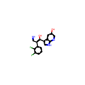 N=C/C(=C(\O)c1c[nH]c2ncc(O)cc12)c1cccc(F)c1F